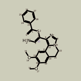 C=C(S/C(=C\N)c1ncn2c1-c1cc(OC)c(OC)cc1CC2)c1ccccc1